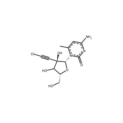 Cc1cc(N)nc(=O)n1[C@@H]1O[C@H](CO)C(O)[C@]1(O)C#CCl